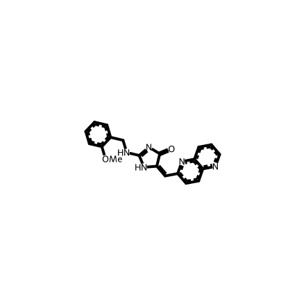 COc1ccccc1CNC1=NC(=O)C(=Cc2ccc3ncccc3n2)N1